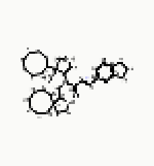 CC1(C2CCCCCCC2)NNCC1N(CC1SCCC12CCCCCCC2)C(=O)/C=C/c1ccc2c(c1)CCC2